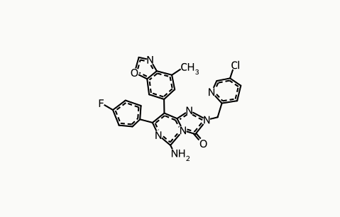 Cc1cc(-c2c(-c3ccc(F)cc3)nc(N)n3c(=O)n(Cc4ccc(Cl)cn4)nc23)cc2ocnc12